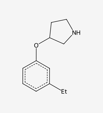 CCc1cccc(OC2CCNC2)c1